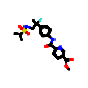 COC(=O)c1ccc(C(=O)Nc2ccc(C(C)(F)CNS(=O)(=O)C(C)C)cc2)nc1